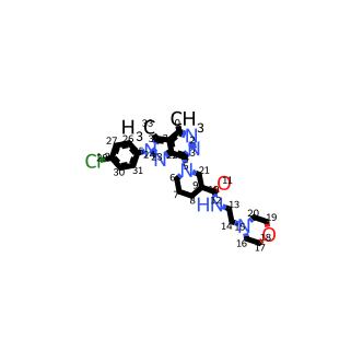 Cc1nnc(N2CCCC(C(=O)NCCN3CCOCC3)C2)c2nn(-c3ccc(Cl)cc3)c(C)c12